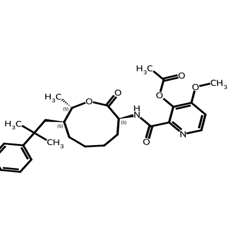 COc1ccnc(C(=O)N[C@H]2CCCC[C@@H](CC(C)(C)c3ccccc3)[C@H](C)OC2=O)c1OC(C)=O